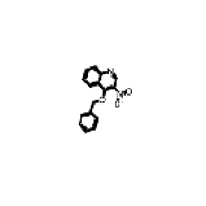 O=[N+]([O-])c1cnc2ccccc2c1OCc1ccccc1